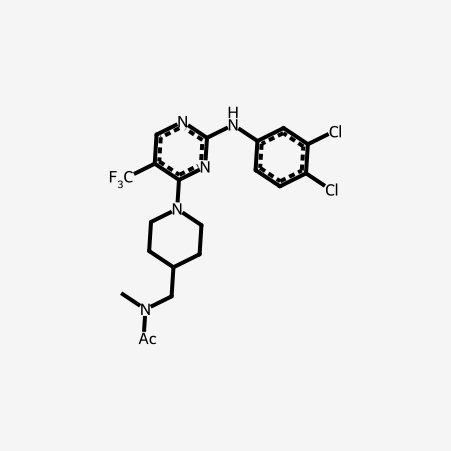 CC(=O)N(C)CC1CCN(c2nc(Nc3ccc(Cl)c(Cl)c3)ncc2C(F)(F)F)CC1